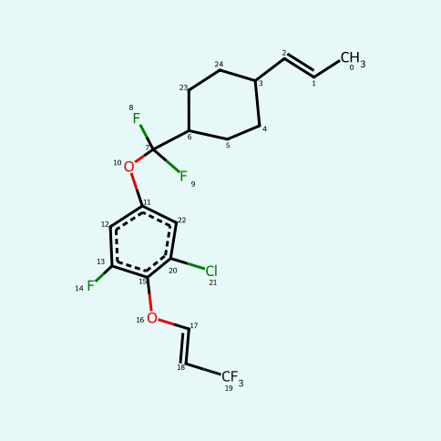 C/C=C/C1CCC(C(F)(F)Oc2cc(F)c(O/C=C/C(F)(F)F)c(Cl)c2)CC1